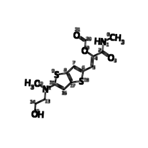 CNC(=O)/C(=C/c1cc2sc(N(C)CCO)cc2s1)OC=O